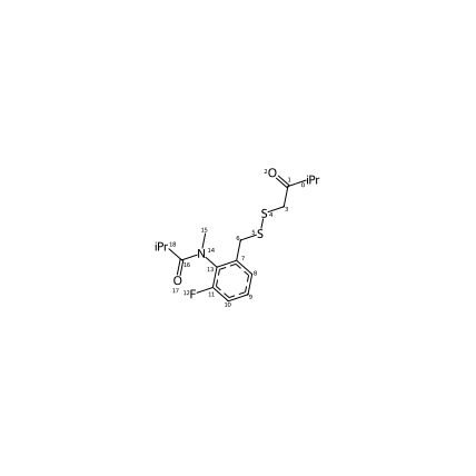 CC(C)C(=O)CSSCc1cccc(F)c1N(C)C(=O)C(C)C